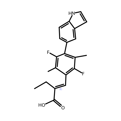 CC/C(=C\c1c(C)c(F)c(-c2ccc3[nH]ccc3c2)c(C)c1F)C(=O)O